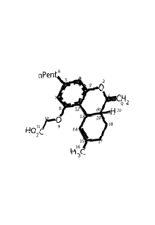 C=C1Oc2cc(CCCCC)cc(OCC(=O)O)c2C2C=C(C)CC[C@@H]12